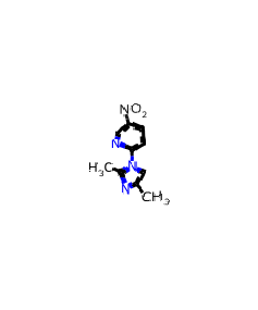 Cc1cn(-c2ccc([N+](=O)[O-])cn2)c(C)n1